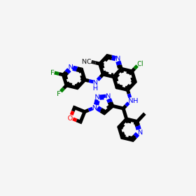 Cc1ncccc1C(Nc1cc(Cl)c2ncc(C#N)c(Nc3cnc(F)c(F)c3)c2c1)c1cn(C2COC2)nn1